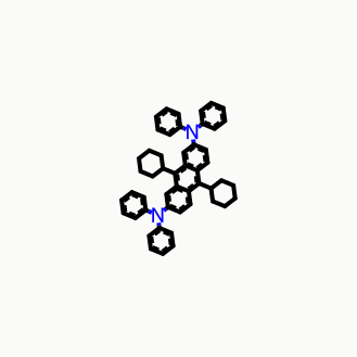 c1ccc(N(c2ccccc2)c2ccc3c(C4CCCCC4)c4ccc(N(c5ccccc5)c5ccccc5)cc4c(C4CCCCC4)c3c2)cc1